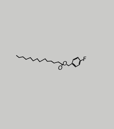 CCCCCCCCCCCCCC(=O)OCc1ccc(F)cc1